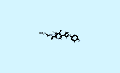 Cc1c(-c2cnn(-c3ccc(F)cc3)c2)cnc(C(=O)NCC(=O)O)c1O